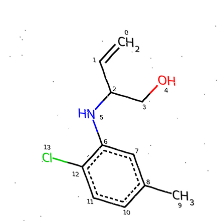 C=CC(CO)Nc1cc(C)ccc1Cl